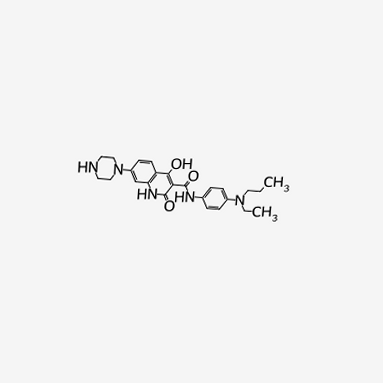 CCCN(CC)c1ccc(NC(=O)c2c(O)c3ccc(N4CCNCC4)cc3[nH]c2=O)cc1